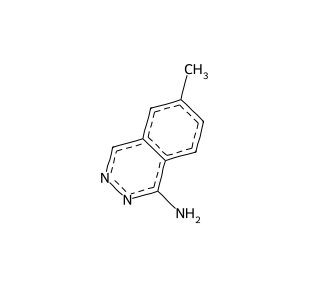 Cc1ccc2c(N)nncc2c1